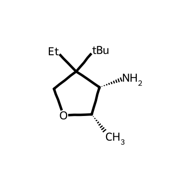 CCC1(C(C)(C)C)CO[C@@H](C)[C@H]1N